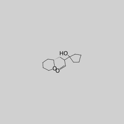 O=CC(C[C@H]1CCCCO1)C1(O)CCCC1